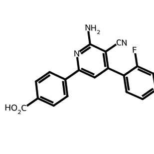 N#Cc1c(-c2ccccc2F)cc(-c2ccc(C(=O)O)cc2)nc1N